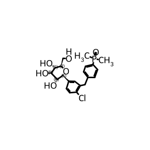 CP(C)(=O)c1ccc(Cc2cc([C@@H]3O[C@H](CO)[C@@H](O)[C@H](O)[C@H]3O)ccc2Cl)cc1